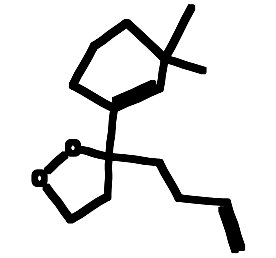 C=CCCC1(C2=CC(C)(C)CCC2)CCOO1